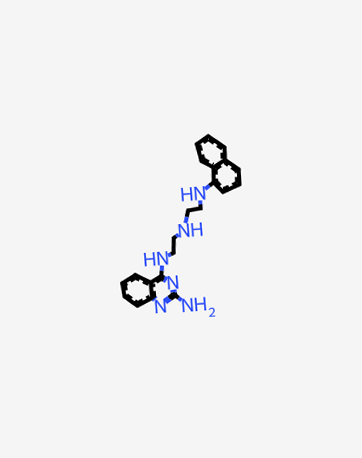 Nc1nc(NCCNCCNc2cccc3ccccc23)c2ccccc2n1